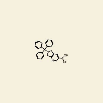 OB(O)c1cnc2c(c1)CN(C(c1ccccc1)(c1ccccc1)c1ccccc1)C2